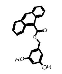 O=C(OCc1cc(O)cc(O)c1)c1c2ccccc2cc2ccccc12